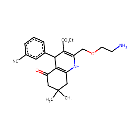 CCOC(=O)C1=C(COCCN)NC2=C(C(=O)CC(C)(C)C2)C1c1cccc(C#N)c1